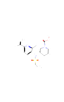 C=C(C)c1cccc(C[C@H]2[C@@H](NS(=O)(=O)CC#N)CCCN2C(=O)OC(C)C)n1